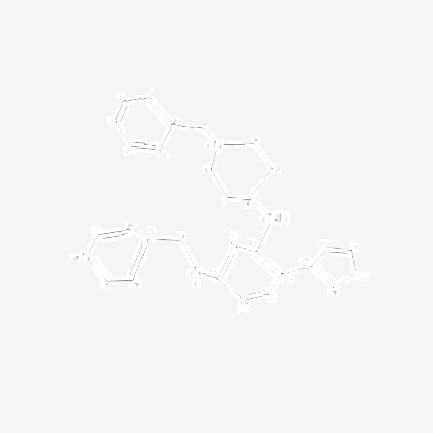 c1ccc(CN2CCC(Nc3nc(NCc4ccncc4)ncc3-c3ccsc3)CC2)cc1